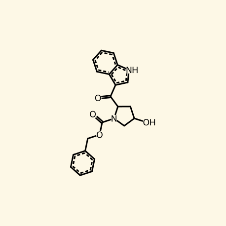 O=C(c1c[nH]c2ccccc12)C1CC(O)CN1C(=O)OCc1ccccc1